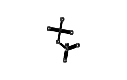 [O]S(=O)(=O)O[SH](=O)=O